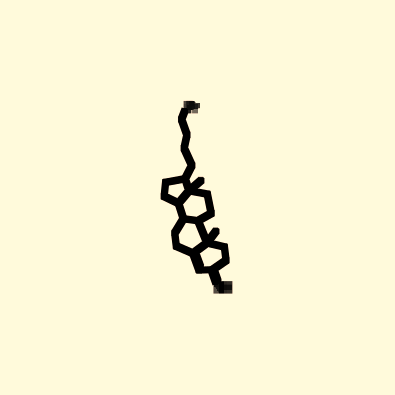 CC(C)CCCCC1CCC2C3CCC4=CC(=N)CCC4(C)C3CCC12C